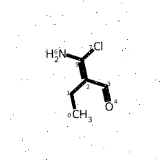 CC/C(C=O)=C(\N)Cl